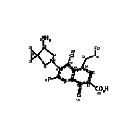 NC1CN(c2c(F)cc3c(=O)c(C(=O)O)cn(CCF)c3c2Cl)CC12CC2